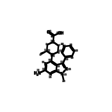 C[C@H]1CN(C(=O)O)CCN1c1nc(N)nc2c1c(-c1cccnc1)nn2C